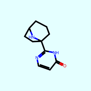 O=c1ccnc(C23CCCC(CC2)N3)[nH]1